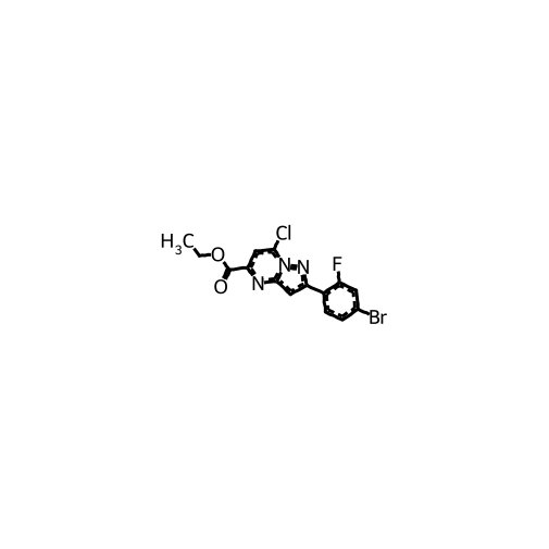 CCOC(=O)c1cc(Cl)n2nc(-c3ccc(Br)cc3F)cc2n1